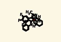 Cn1nc2c(c1-c1cc(F)c(F)c(F)c1)C[C@H]1CCC[C@@H]2N1C(=O)c1cnc2ccccc2n1